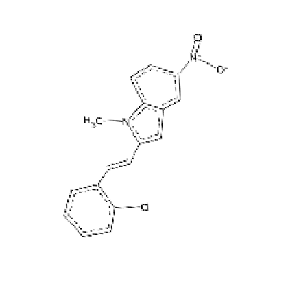 Cn1c(/C=C/c2ccccc2Cl)cc2cc([N+](=O)[O-])ccc21